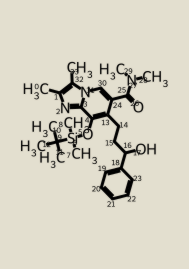 Cc1nc2c(O[Si](C)(C)C(C)(C)C)c(CCC(O)c3ccccc3)c(C(=O)N(C)C)cn2c1C